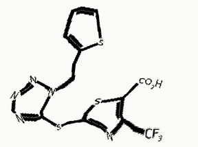 O=C(O)c1sc(Sc2nnnn2Cc2cccs2)nc1C(F)(F)F